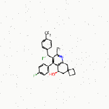 CC(C)c1nc2c(c(-c3ccc(F)cc3)c1[C@H](F)c1ccc(C(F)(F)F)cc1)[C@H](O)CC1(CCC1)C2